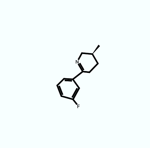 C[C@H]1CCC(c2cccc(F)c2)=NC1